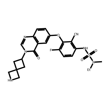 CCN(C)S(=O)(=O)Nc1ccc(F)c(Oc2ccc3ncn(C4CC5(CNC5)C4)c(=O)c3c2)c1C#N